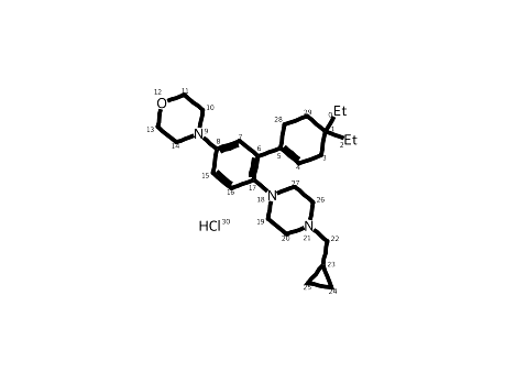 CCC1(CC)CC=C(c2cc(N3CCOCC3)ccc2N2CCN(CC3CC3)CC2)CC1.Cl